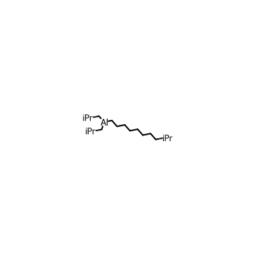 CC(C)CCCCCCC[CH2][Al]([CH2]C(C)C)[CH2]C(C)C